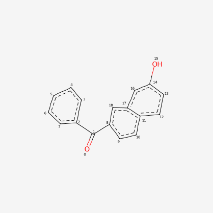 O=C(c1ccccc1)c1ccc2ccc(O)cc2c1